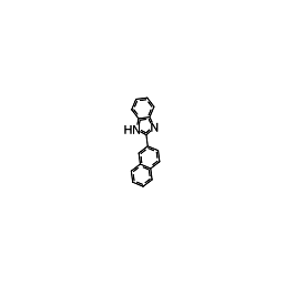 c1ccc2cc(-c3nc4ccccc4[nH]3)ccc2c1